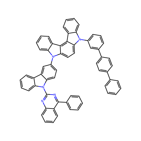 c1ccc(-c2ccc(-c3cccc(-n4c5ccccc5c5c6c7ccccc7n(-c7ccc8c(c7)c7ccccc7n8-c7nc(-c8ccccc8)c8ccccc8n7)c6ccc54)c3)cc2)cc1